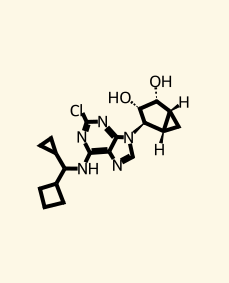 O[C@@H]1[C@H](O)[C@@H]2C[C@@H]2[C@H]1n1cnc2c(NC(C3CCC3)C3CC3)nc(Cl)nc21